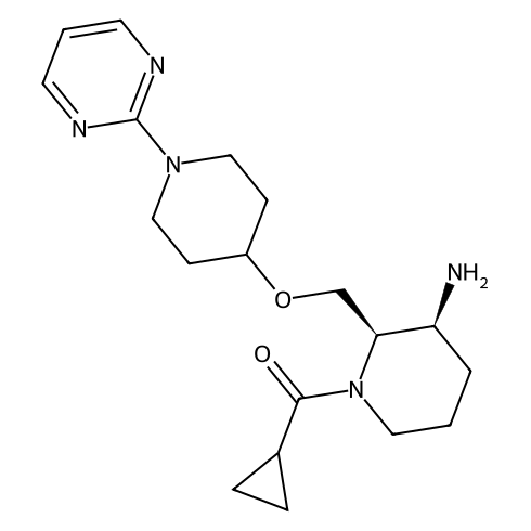 N[C@H]1CCCN(C(=O)C2CC2)[C@H]1COC1CCN(c2ncccn2)CC1